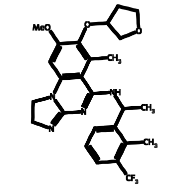 COc1cc2c(c(C)c1OC1CCOC1)C(NC(C)c1cccc(C(F)(F)F)c1C)=NC1=NCCN12